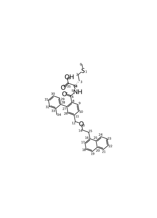 CSCC[C@H](NC(=O)c1ccc(COCCc2cccc3ccccc23)cc1-c1ccccc1C)C(=O)O